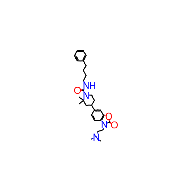 CN(C)CCn1c(=O)oc2cc(C3CCN(C(=O)NCCCCc4ccccc4)C(C)(C)C3)ccc21